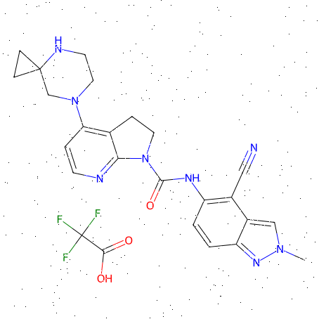 Cn1cc2c(C#N)c(NC(=O)N3CCc4c(N5CCNC6(CC6)C5)ccnc43)ccc2n1.O=C(O)C(F)(F)F